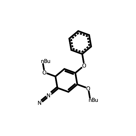 CCCCOC1=CC(=[N+]=[N-])C(OCCCC)C=C1Oc1ccccc1